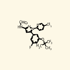 CC(C)(Oc1cc(F)cc(-c2cc(NC=O)nn2-c2ccc(C(F)(F)F)cn2)c1)C(F)(F)F